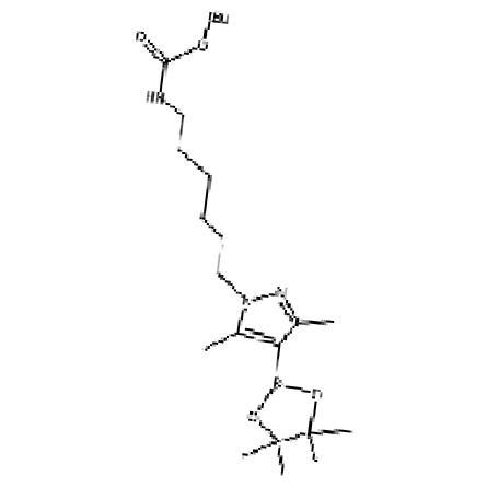 Cc1nn(CCCCCCNC(=O)OC(C)(C)C)c(C)c1B1OC(C)(C)C(C)(C)O1